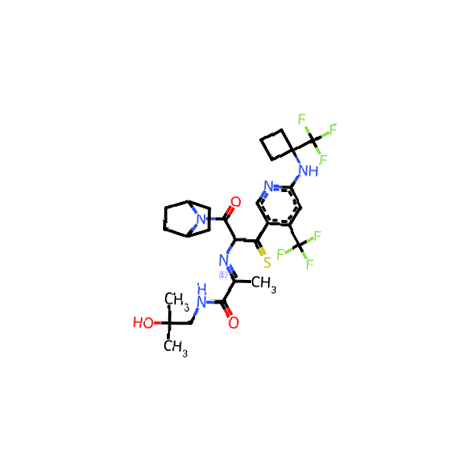 C/C(=N\C(C(=O)N1C2CCC1CC2)C(=S)c1cnc(NC2(C(F)(F)F)CCC2)cc1C(F)(F)F)C(=O)NCC(C)(C)O